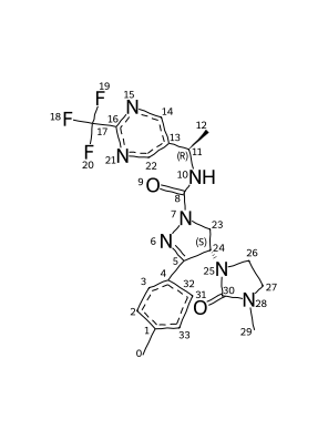 Cc1ccc(C2=NN(C(=O)N[C@H](C)c3cnc(C(F)(F)F)nc3)C[C@@H]2N2CCN(C)C2=O)cc1